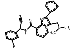 CN(C)Cc1c(-c2ccccc2)nc2c(C(=O)NC(C#N)c3cccc(F)c3)cccn12